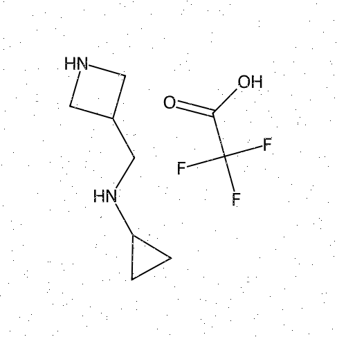 C1NCC1CNC1CC1.O=C(O)C(F)(F)F